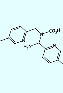 Cc1ccc(CN(C(=O)O)C(N)c2ccc(C)cn2)nc1